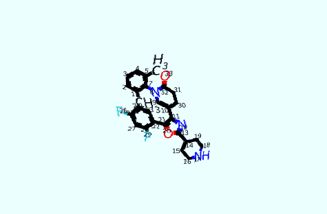 Cc1cccc(C)c1N1C=C(c2nc(C3CCNCC3)oc2-c2ccc(F)cc2F)CCC1=O